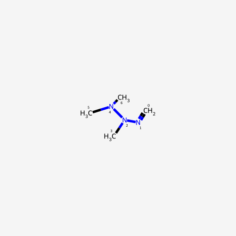 C=NN(C)N(C)C